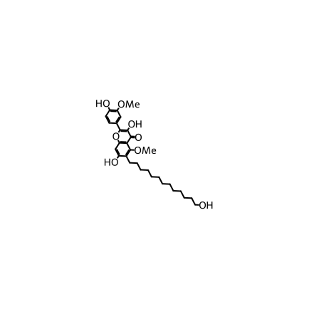 COc1cc(-c2oc3cc(O)c(CCCCCCCCCCCCCO)c(OC)c3c(=O)c2O)ccc1O